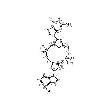 COP1(=O)OC[C@@H]2C[C@@H](OP(=O)(O)OCC3O[C@@H](n4cnc5c(N)ncnc54)C[C@@H]3O1)C(n1cnc3c(=O)[nH]c(N)nc31)O2